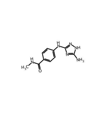 CNC(=O)c1ccc(Nc2n[nH]c(N)n2)cc1